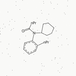 [CH2]CCc1ccccc1N(C(=O)CCC)C1CCCCC1